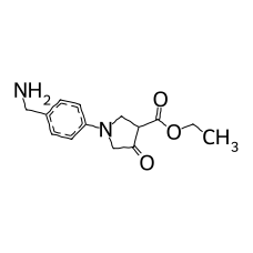 CCOC(=O)C1CN(c2ccc(CN)cc2)CC1=O